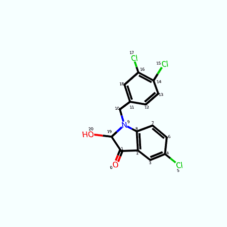 O=C1c2cc(Cl)ccc2N(Cc2ccc(Cl)c(Cl)c2)C1O